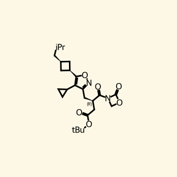 CC(C)C[C@H]1C[C@@H](c2onc(C[C@H](CC(=O)OC(C)(C)C)C(=O)N3COC3=O)c2C2CC2)C1